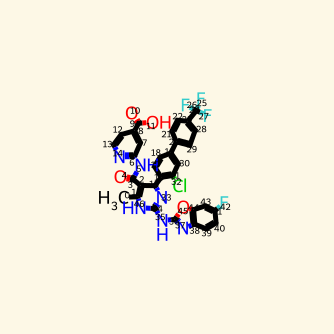 CC1=C(C(=O)Nc2cc(C(=O)O)ccn2)C(c2ccc(-c3ccc(C(F)(F)F)cc3)cc2Cl)N=C(Nc2nc3ccc(F)cc3o2)N1